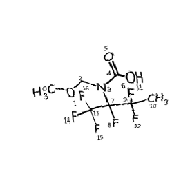 COCN(C(=O)O)C(F)(C(C)(F)F)C(F)(F)F